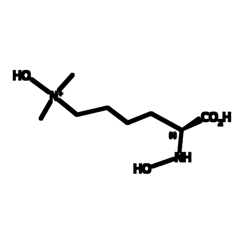 C[N+](C)(O)CCCC[C@H](NO)C(=O)O